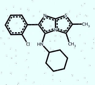 Cc1sc2nc(-c3ccccc3Cl)c(NC3CCCCC3)n2c1C